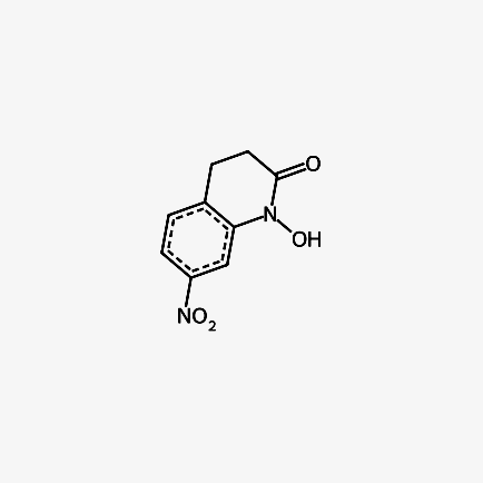 O=C1CCc2ccc([N+](=O)[O-])cc2N1O